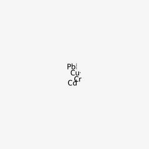 [Cd].[Cr].[Cu].[Pb]